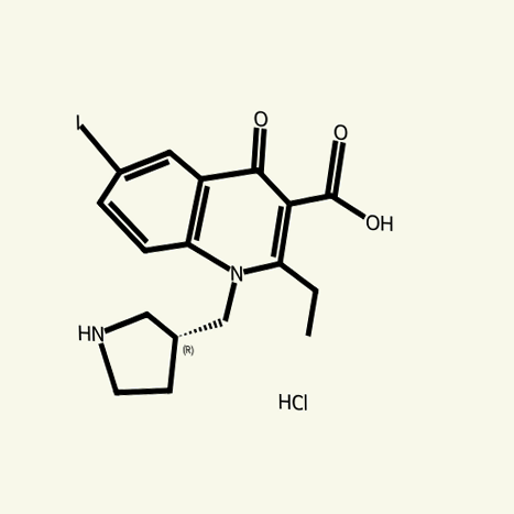 CCc1c(C(=O)O)c(=O)c2cc(I)ccc2n1C[C@@H]1CCNC1.Cl